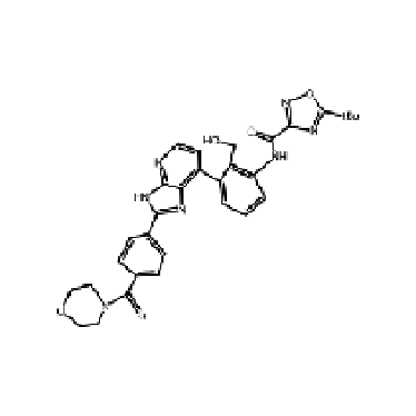 CC(C)(C)c1nc(C(=O)Nc2cccc(-c3ccnc4[nH]c(-c5ccc(C(=O)N6CCOCC6)cc5)nc34)c2CO)no1